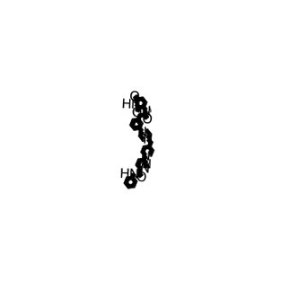 CN(C(=O)Cc1cccc(N2CCN(CC3CCN(c4ccc(C(=O)NC5CCCCC5)nn4)CC3)CC2)c1)C1CCC(=O)NC1=O